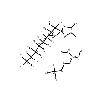 CCO[Si](OCC)(OCC)C(F)(F)C(F)(F)C(F)(F)C(F)(F)C(F)(F)C(F)(F)C(F)(F)C(F)(F)F.CO[SiH](CCCC(F)(F)F)OC